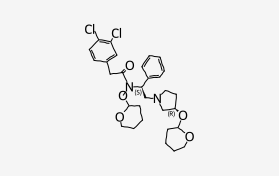 O=C(Cc1ccc(Cl)c(Cl)c1)N(OC1CCCCO1)[C@H](CN1CC[C@@H](OC2CCCCO2)C1)c1ccccc1